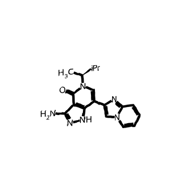 CC(C)[C@H](C)n1cc(-c2cn3ccccc3n2)c2[nH]nc(N)c2c1=O